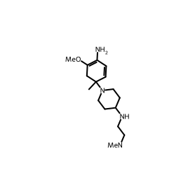 CNCCNC1CCN(C2(C)C=CC(N)=C(OC)C2)CC1